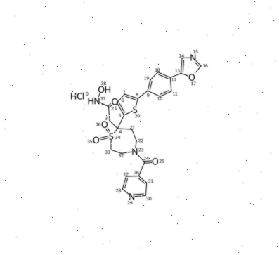 Cl.O=C(CC1(c2ccc(-c3ccc(-c4cnco4)cc3)s2)CCN(C(=O)c2ccncc2)CCS1(=O)=O)NO